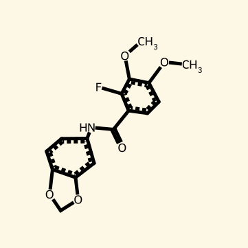 COc1ccc(C(=O)Nc2ccc3c(c2)OCO3)c(F)c1OC